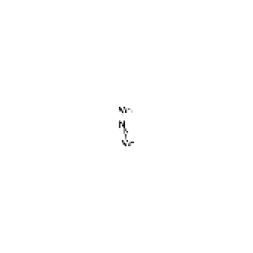 [Mn][N]=[N][Mn]